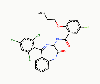 COCCOc1ccc(F)cc1C(=O)N[C@H]1N=C(c2c(Cl)cc(Cl)cc2Cl)c2ccccc2NC1=O